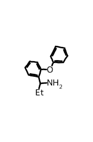 CCC(N)c1ccccc1Oc1ccccc1